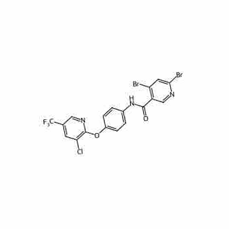 O=C(Nc1ccc(Oc2ncc(C(F)(F)F)cc2Cl)cc1)c1cnc(Br)cc1Br